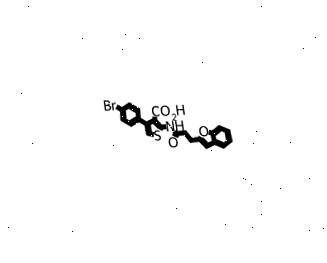 O=C(CCc1cc2ccccc2o1)Nc1scc(-c2ccc(Br)cc2)c1C(=O)O